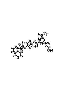 CC(C)Nc1nc(NCCO)nc(NCC2CCC(CNS(=O)(=O)c3cccc4ccccc34)CC2)n1